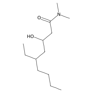 CCCCC(CC)CC(O)CC(=O)N(C)C